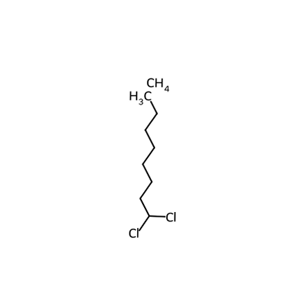 C.CCCCCCCC(Cl)Cl